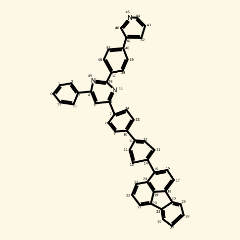 c1ccc(-c2cc(-c3ccc(-c4ccc(-c5ccc6c7c(cccc57)-c5ccccc5-6)cc4)cc3)nc(-c3ccc(-c4cccnc4)cc3)n2)cc1